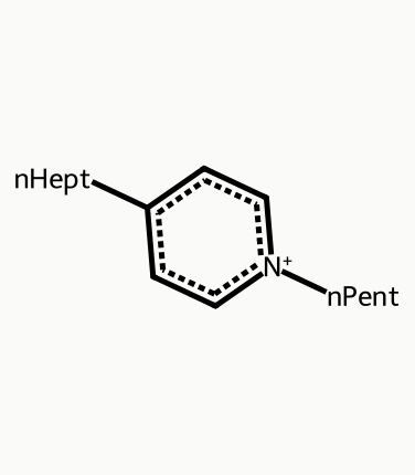 CCCCCCCc1cc[n+](CCCCC)cc1